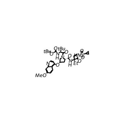 C=C[C@@](CC)(NC(=O)[C@@H]1C[C@@H](Oc2ccnc3cc(OC)ccc23)CN1C(=O)[C@@H](NC(=O)OC(C)(C)C)C(C)(C)C)C(=O)NS(=O)(=O)C1CC1